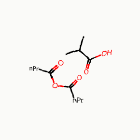 CC(C)C(=O)O.CCCC(=O)OC(=O)CCC